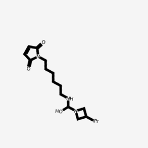 CC(C)C1CN(C(O)NCCCCCCN2C(=O)C=CC2=O)C1